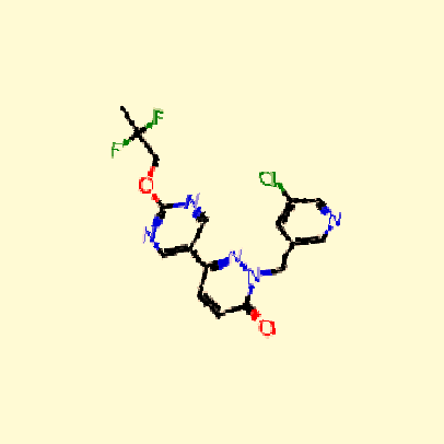 CC(F)(F)COc1ncc(-c2ccc(=O)n(Cc3cncc(Cl)c3)n2)cn1